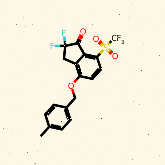 Cc1ccc(COc2ccc(S(=O)(=O)C(F)(F)F)c3c2CC(F)(F)C3=O)cc1